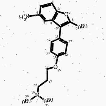 CCCCc1oc2ccc(N)cc2c1-c1ccc(OCCCN(CCCC)CCCC)cc1